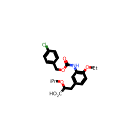 CCOc1ccc(CC(OC(C)C)C(=O)O)cc1NC(=O)OCc1ccc(Cl)cc1